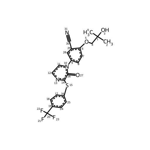 CC(C)(O)COc1ccc(-n2ccnc(Sc3ccc(C(F)(F)F)cc3)c2=O)cc1C#N